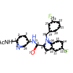 CC(=O)Nc1ccc(NC(=O)c2cc3cc(F)ccc3n2Cc2cccc(F)c2)cn1